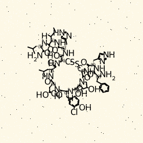 CCC(C)[C@H](NC(=O)[C@H](Cc1c[nH]cn1)N[C@H](O)[C@@H]1CSSC[C@H](NC(=O)[C@H](Cc2c[nH]cn2)NC(=O)[C@@H](N)Cc2ccccc2)C(=O)N2CC(O)C[C@H]2[C@@H](O)N[C@@H](Cc2ccc(O)c(Cl)c2)C(=O)N[C@@H](CC(=O)O)C(=O)N[C@@H](CC(C)C)C(=O)N1)C(=O)N[C@@H](CC(C)C)C(N)=O